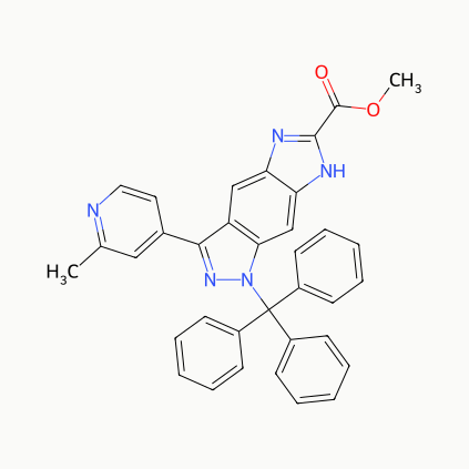 COC(=O)c1nc2cc3c(-c4ccnc(C)c4)nn(C(c4ccccc4)(c4ccccc4)c4ccccc4)c3cc2[nH]1